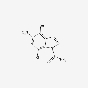 NC(=O)n1ccc2c(O)c([N+](=O)[O-])nc(Cl)c21